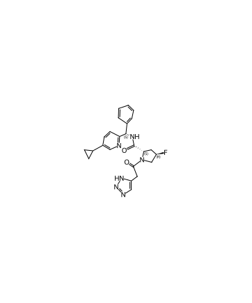 O=C(N[C@@H](c1ccccc1)c1ccc(C2CC2)cn1)[C@@H]1C[C@@H](F)CN1C(=O)Cc1cnn[nH]1